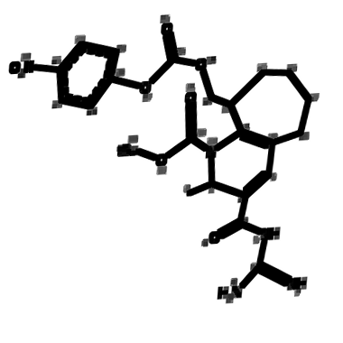 CC1C(C(=O)NC(=N)N)=CC2=C(C(COC(=O)Oc3ccc([N+](=O)[O-])cc3)CCCC2)N1C(=O)OC(C)(C)C